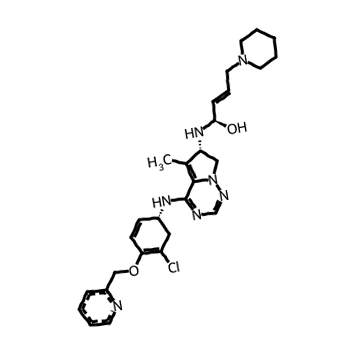 CC1=C2C(N[C@H]3C=CC(OCc4ccccn4)=C(Cl)C3)=NC=NN2C[C@H]1N[C@H](O)/C=C/CN1CCCCC1